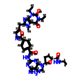 CCNC(=O)[C@H]1CC[C@H](n2cnc3c(N)nc(NC(=O)c4ccc(-c5ncc(Cc6nc7c(c(=O)n(CC)c(=O)n7CC)n6C)o5)cc4)nc32)O1